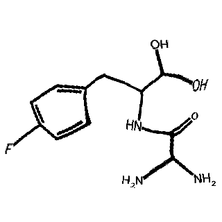 NC(N)C(=O)NC(Cc1ccc(F)cc1)C(O)O